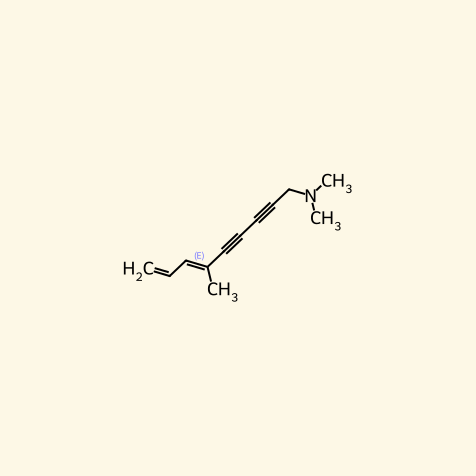 C=C/C=C(\C)C#CC#CCN(C)C